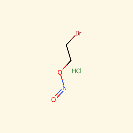 Cl.O=NOCCBr